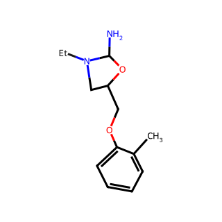 CCN1CC(COc2ccccc2C)OC1N